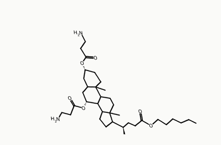 CCCCCCOC(=O)CC[C@@H](C)C1CCC2C3C(CCC21C)C1(C)CC[C@@H](OC(=O)CCN)CC1C[C@H]3OC(=O)CCN